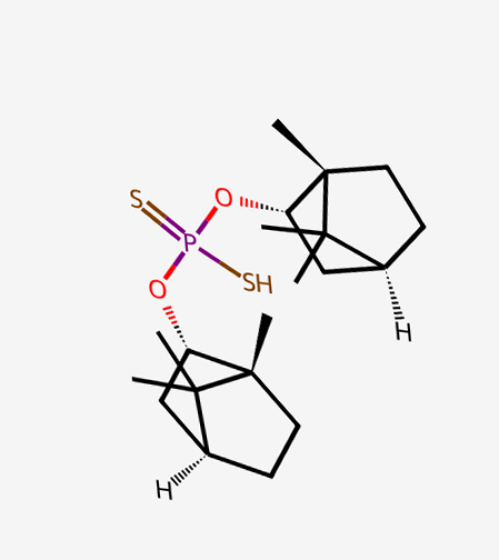 CC1(C)[C@H]2CC[C@@]1(C)[C@@H](OP(=S)(S)O[C@H]1C[C@@H]3CC[C@]1(C)C3(C)C)C2